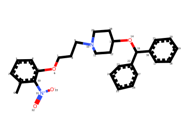 Cc1cccc(OCCCN2CCC(OC(c3ccccc3)c3ccccc3)CC2)c1[N+](=O)[O-]